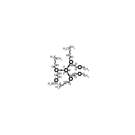 COc1ccc(NC(=O)Nc2ccc(CC(=O)NCCCN(C)C)cc2C#Cc2c(F)c(C#Cc3cc(C(=O)NCCCN(C)C)ccc3NC(=O)Nc3ccc(OC)cc3)c(F)c(C#Cc3cc(C(=O)NCCCN(C)C)ccc3NC(=O)Nc3ccc(OC)cc3)c2F)cc1